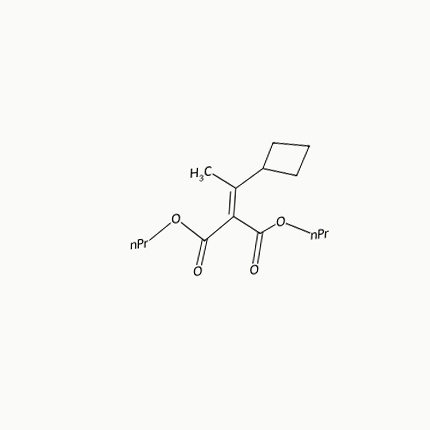 CCCOC(=O)C(C(=O)OCCC)=C(C)C1CCC1